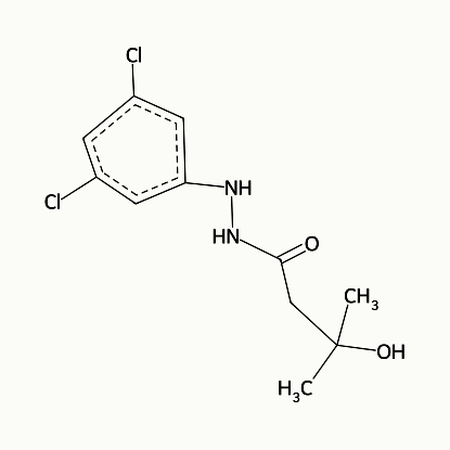 CC(C)(O)CC(=O)NNc1cc(Cl)cc(Cl)c1